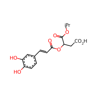 CC(C)OC(=O)C(CC(=O)O)OC(=O)/C=C/c1ccc(O)c(O)c1